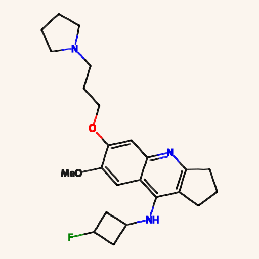 COc1cc2c(NC3CC(F)C3)c3c(nc2cc1OCCCN1CCCC1)CCC3